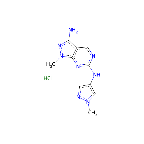 Cl.Cn1cc(Nc2ncc3c(N)nn(C)c3n2)cn1